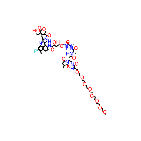 CC[C@@]1(O)C(=O)OCc2c1cc1n(c2=O)Cc2c-1nc1cc(F)c(C)c3c1c2[C@@H](NC(=O)[C@H](O)CCOCNC(=O)[C@H](C)NC(=O)[C@H](C)NC(=O)C[C@H](CNC(=O)CCOCCOCCOCCOCCOCCOCCOCCOC)N1C(=O)CC(C)C1=O)CC3